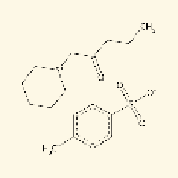 CCCC(=O)C[S+]1CCCCC1.Cc1ccc(S(=O)(=O)[O-])cc1